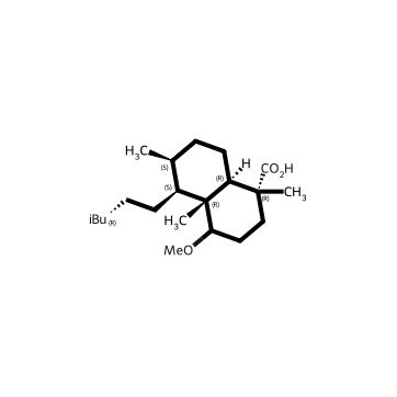 CC[C@@H](C)CC[C@H]1[C@@H](C)CC[C@@H]2[C@]1(C)C(OC)CC[C@@]2(C)C(=O)O